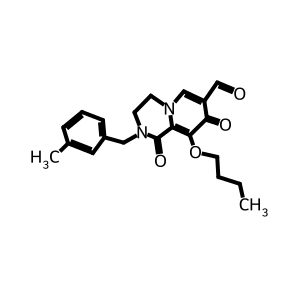 CCCCOc1c2n(cc(C=O)c1=O)CCN(Cc1cccc(C)c1)C2=O